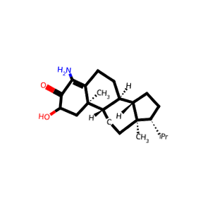 CC(C)[C@H]1CC[C@H]2[C@@H]3CCC4=C(N)C(=O)C(O)C[C@]4(C)[C@H]3CC[C@]12C